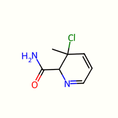 CC1(Cl)C=CC=NC1C(N)=O